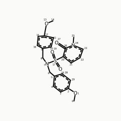 COc1ccc(CN(Cc2ccc(OC)cc2)S(=O)(=O)c2cccn(C)c2=O)cc1